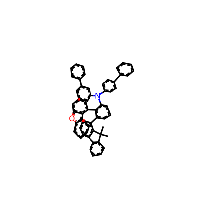 CC1(C)c2ccccc2-c2cccc(-c3cccc(N(c4ccc(-c5ccccc5)cc4)c4cccc(-c5ccccc5)c4)c3-c3cccc4oc5ccccc5c34)c21